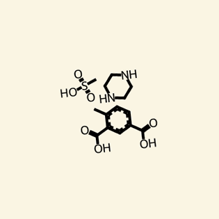 C1CNCCN1.CS(=O)(=O)O.Cc1ccc(C(=O)O)cc1C(=O)O